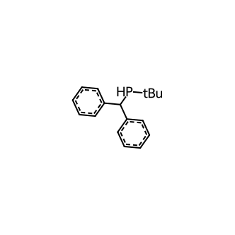 CC(C)(C)PC(c1ccccc1)c1ccccc1